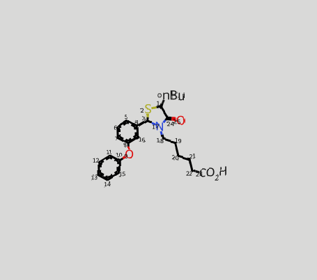 CCCCC1SC(c2cccc(Oc3ccccc3)c2)N(CCCCCC(=O)O)C1=O